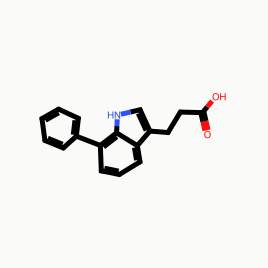 O=C(O)CCc1c[nH]c2c(-c3ccccc3)cccc12